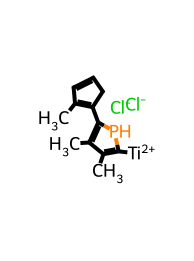 CC1=C(c2[pH][c]([Ti+2])c(C)c2C)CC=C1.[Cl-].[Cl-]